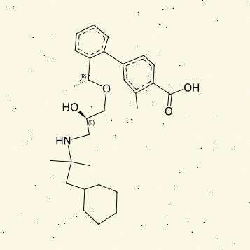 Cc1cc(-c2ccccc2[C@@H](C)OC[C@H](O)CNC(C)(C)CC2CCCCC2)ccc1C(=O)O